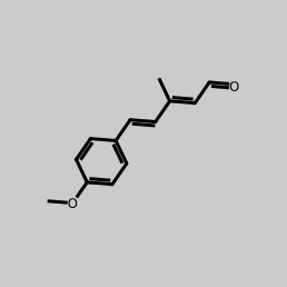 COc1ccc(/C=C/C(C)=C/C=O)cc1